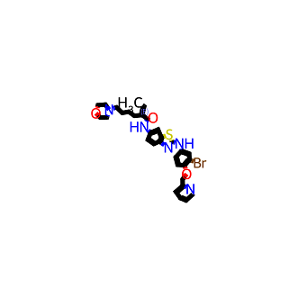 C/C=C(\CCCCN1CCOCC1)C(=O)Nc1ccc2nc(Nc3ccc(OCc4ccccn4)c(Br)c3)sc2c1